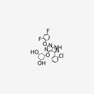 OC1CC(O)CC(Oc2nc(Oc3ccc(F)cc3F)nc3[nH]nc(-c4ccccc4Cl)c23)C1